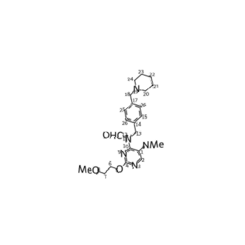 CNc1cnc(OCCOC)nc1N(C=O)Cc1ccc(CN2CCCCC2)cc1